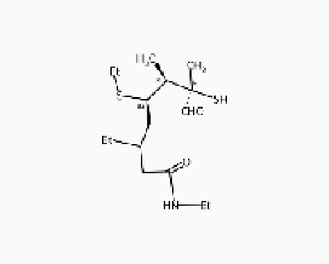 CCNC(=O)CC(CC)C[C@@H](SCC)[C@@H](C)[C@@](C)(S)C=O